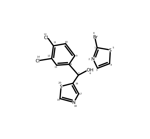 Brc1nccs1.OC(c1ccc(Cl)c(Cl)c1)c1cncs1